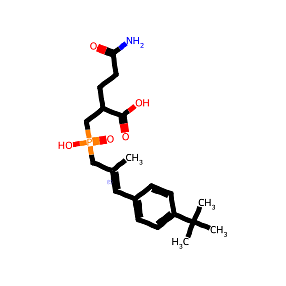 C/C(=C\c1ccc(C(C)(C)C)cc1)CP(=O)(O)CC(CCC(N)=O)C(=O)O